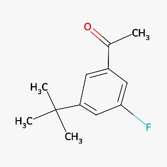 CC(=O)c1cc(F)cc(C(C)(C)C)c1